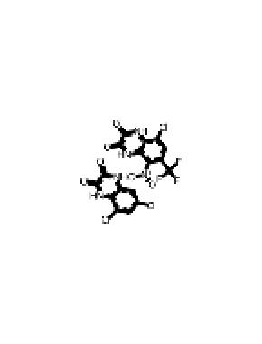 O=c1[nH]c2c(Cl)cc(C(F)(F)F)c([N+](=O)[O-])c2[nH]c1=O.O=c1[nH]c2cc(Cl)cc(Cl)c2[nH]c1=O